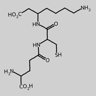 NCCCCC(CC(=O)O)NC(=O)C(CS)NC(=O)CCC(N)C(=O)O